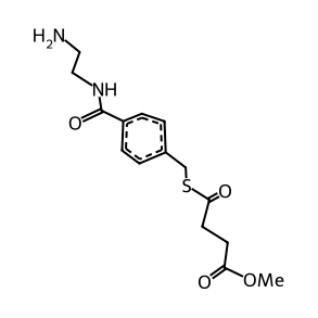 COC(=O)CCC(=O)SCc1ccc(C(=O)NCCN)cc1